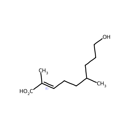 C/C(=C\CCC(C)CCCO)C(=O)O